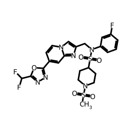 CS(=O)(=O)N1CCC(S(=O)(=O)N(Cc2cn3ccc(-c4nnc(C(F)F)o4)cc3n2)c2cccc(F)c2)CC1